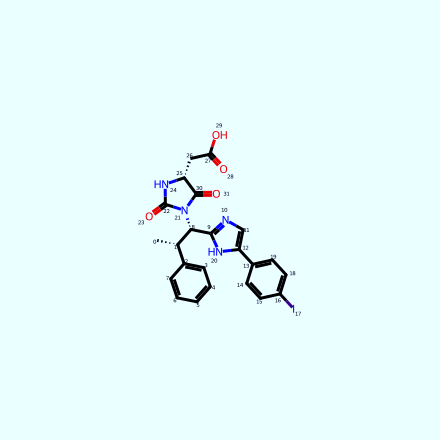 C[C@@H](c1ccccc1)[C@@H](c1ncc(-c2ccc(I)cc2)[nH]1)N1C(=O)N[C@H](CC(=O)O)C1=O